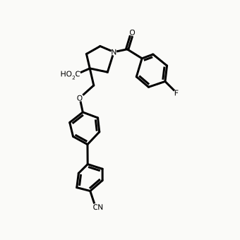 N#Cc1ccc(-c2ccc(OCC3(C(=O)O)CCN(C(=O)c4ccc(F)cc4)C3)cc2)cc1